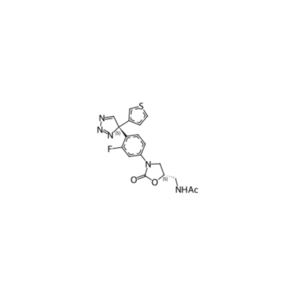 CC(=O)NC[C@H]1CN(c2ccc([C@]3(c4ccsc4)C=NN=N3)c(F)c2)C(=O)O1